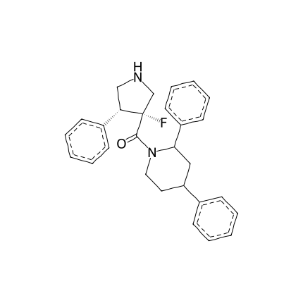 O=C(N1CCC(c2ccccc2)CC1c1ccccc1)[C@]1(F)CNC[C@H]1c1ccccc1